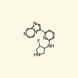 FC1CNCC1Nc1cccc(-c2cnc3cnccn23)n1